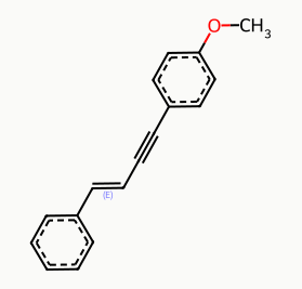 COc1ccc(C#C/C=C/c2ccccc2)cc1